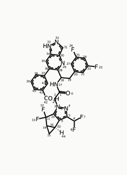 O=C(Cn1nc(C(F)F)c2c1C(F)(F)C1C[C@H]21)NC(Cc1cc(F)cc(F)c1)c1nc2cn[nH]c2cc1-c1cccc(C(=O)O)c1